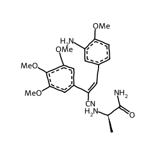 COc1ccc(/C=C(/C#N)c2cc(OC)c(OC)c(OC)c2)cc1N.C[C@@H](N)C(N)=O